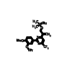 C=C(CO[Si](C)(C)C(C)(C)C)c1cc(C(F)(F)F)nc(-c2ccc(OC)c(OCCC)c2)n1